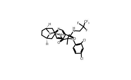 CC(C)(Oc1ccc(Cl)cc1Cl)C(=O)N[C@H]1C[C@H]2CC[C@@H](C1)N2c1ccc(C(=O)NCC(F)(F)C(F)(F)F)cn1